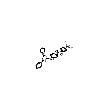 O=[N+]([O-])c1ccc(S(=O)(=O)c2ccc(Nc3nc(N4CCCCC4)nc(N4CCCCC4)n3)cc2)cc1